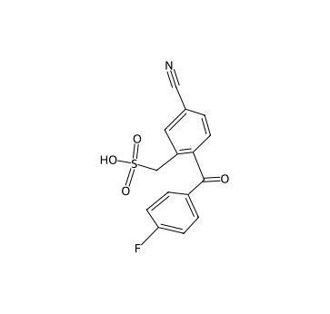 N#Cc1ccc(C(=O)c2ccc(F)cc2)c(CS(=O)(=O)O)c1